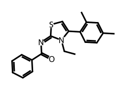 CCn1c(-c2ccc(C)cc2C)cs/c1=N/C(=O)c1ccccc1